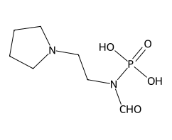 O=CN(CCN1CCCC1)P(=O)(O)O